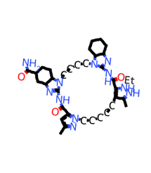 CCN/C1=C(\C(C)=N)CCCCCn2nc(C)cc2C(=O)NC2=NC3CC(C(N)=O)CCC3N2CCCCN2C(=NC3CCCCC32)NC1=O